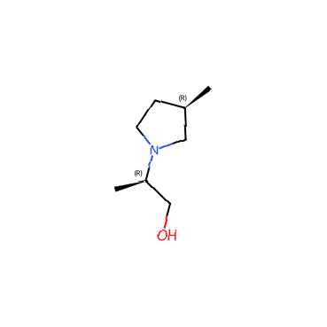 C[C@@H]1CCN([C@H](C)CO)C1